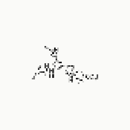 CC(C)n1cc(-c2cc(Nc3nccc(C(F)(F)F)n3)cc(-c3cnc([C@@]4(O)CC[C@H](C(=O)O)C(C)(C)C4)s3)c2)cn1